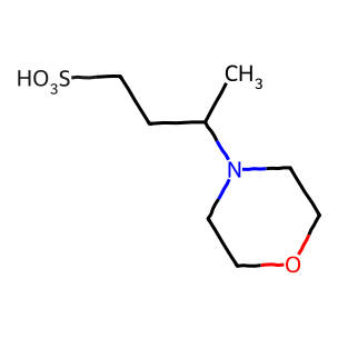 CC(CCS(=O)(=O)O)N1CCOCC1